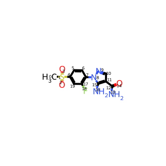 CS(=O)(=O)c1ccc(-n2ncc(C(N)=O)c2N)c(F)c1